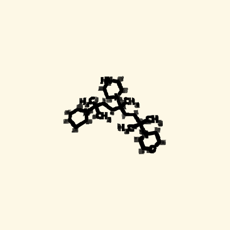 CC(C)(CCC(C)(CCC(C)(C)N1CCOCC1)N1CCNCC1)N1CCCCC1